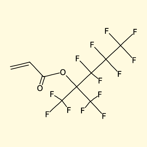 C=CC(=O)OC(C(F)(F)F)(C(F)(F)F)C(F)(F)C(F)(F)C(F)(F)F